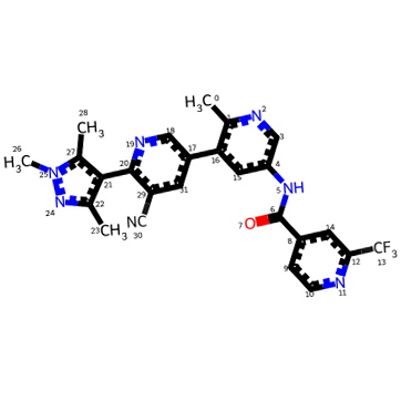 Cc1ncc(NC(=O)c2ccnc(C(F)(F)F)c2)cc1-c1cnc(-c2c(C)nn(C)c2C)c(C#N)c1